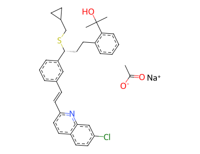 CC(=O)[O-].CC(C)(O)c1ccccc1CC[C@@H](SCC1CC1)c1cccc(C=Cc2ccc3ccc(Cl)cc3n2)c1.[Na+]